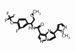 COCC(NC(=O)c1cnn2ccc(-c3ccnn3C)nc12)c1ccc(OC(F)(F)F)c(F)c1